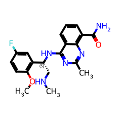 CNC[C@@H](Nc1nc(C)nc2c(C(N)=O)cccc12)c1cc(F)ccc1OC